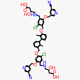 Cc1c(COc2cc(OCc3cncc(C#N)c3)c(CNC[C@@H](O)CC(=O)O)cc2Cl)cccc1-c1cccc(OCc2cc(OCc3cncc(C#N)c3)c(CNC[C@@H](O)CC(=O)O)cc2Cl)c1C